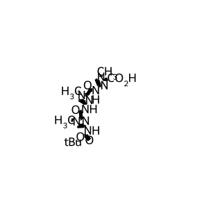 Cn1cc(NC(=O)c2nc(NC(=O)c3nc(NC(=O)OC(C)(C)C)cn3C)cn2C)nc1C(=O)O